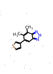 Cc1c(-c2ccsc2)cc2c(c1C)=N[N]N=2